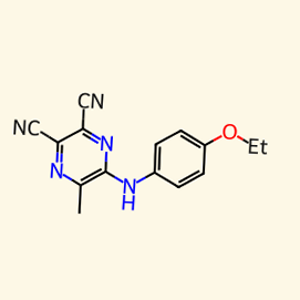 CCOc1ccc(Nc2nc(C#N)c(C#N)nc2C)cc1